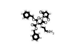 NCCC[C@@H](C(=O)ON1C(=O)CCC1=O)N(C(=O)OCc1ccccc1)C(=O)OCc1ccccc1